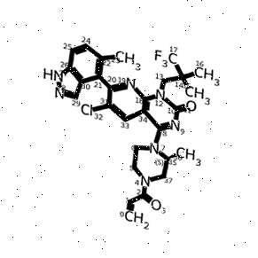 C=CC(=O)N1CCN(c2nc(=O)n(CC(C)(C)C(F)(F)F)c3nc(-c4c(C)ccc5[nH]ncc45)c(Cl)cc23)[C@@H](C)C1